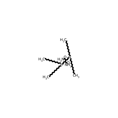 CCCCCCCCCCCCN(CCCCCCCCCCCC)CCC(C(N)=O)C(CCN(CCCCCCCCCCCC)CCCCCCCCCCCC)C(N)=O